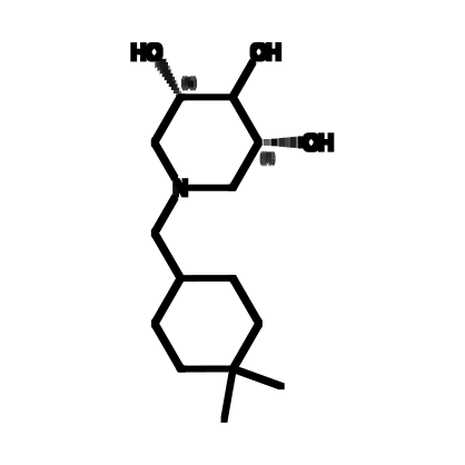 CC1(C)CCC(CN2C[C@@H](O)C(O)[C@@H](O)C2)CC1